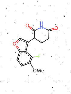 COc1ccc2occ(C3CCC(=O)NC3=O)c2c1F